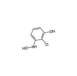 ONc1cccc(O)c1Cl